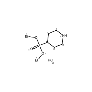 CCOP(=O)(OCC)C1CCNCC1.Cl